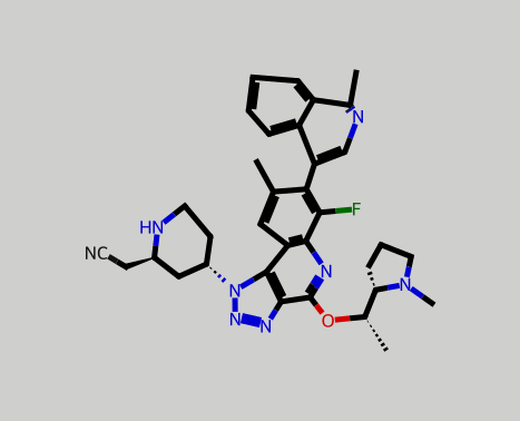 Cc1cc2c(nc(O[C@@H](C)[C@@H]3CCCN3C)c3nnn([C@H]4CCN[C@H](CC#N)C4)c32)c(F)c1-c1cnc(C)c2ccccc12